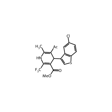 COC(=O)C1=C(C(F)(F)F)NC(C)=C(C(C)=O)C1c1csc2ccc(Cl)cc12